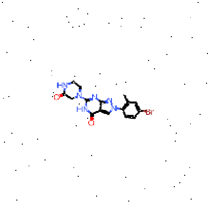 Cc1cc(Br)ccc1-n1cc2c(=O)[nH]c(N3CCNC(=O)C3)nc2n1